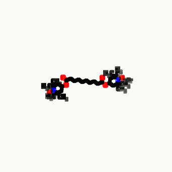 CCCON1C(C)(C)CC(OC(=O)CCCCCCCCC(=O)OC2CC(C)(C)N(OCCC)C(C)(C)C2)CC1(C)C